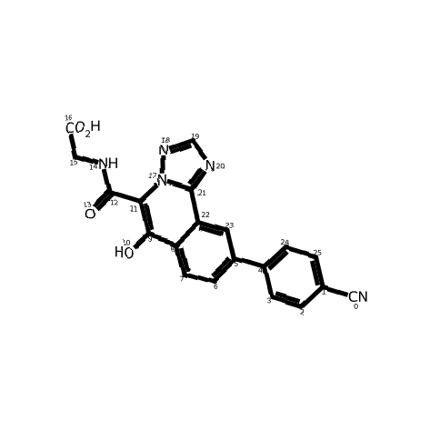 N#Cc1ccc(-c2ccc3c(O)c(C(=O)NCC(=O)O)n4ncnc4c3c2)cc1